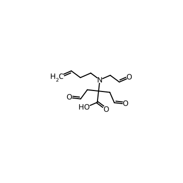 C=CCCN(CC=O)C(CC=O)(CC=O)C(=O)O